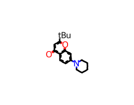 CC(C)(C)c1cc(=O)c2ccc(N3CCCCC3)cc2o1